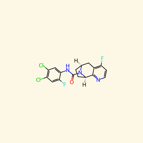 O=C(Nc1cc(Cl)c(Cl)cc1F)N1[C@H]2CC[C@@H]1c1nccc(F)c1C2